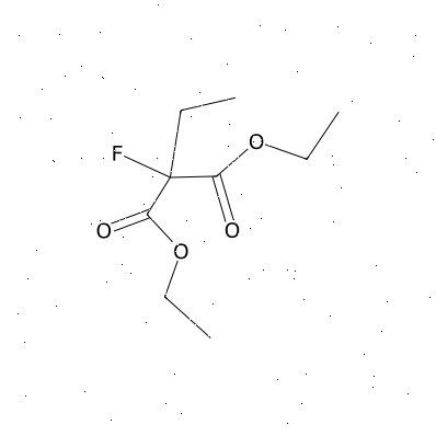 CCOC(=O)C(F)(CC)C(=O)OCC